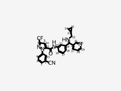 N#Cc1cccc(-n2nc(C(F)(F)F)cc2C(=O)Nc2cccc(C(NCC3CC3)c3cccnc3)c2)c1